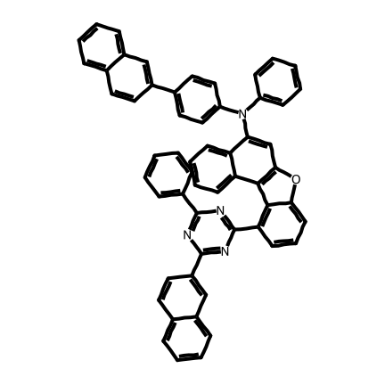 c1ccc(-c2nc(-c3ccc4ccccc4c3)nc(-c3cccc4oc5cc(N(c6ccccc6)c6ccc(-c7ccc8ccccc8c7)cc6)c6ccccc6c5c34)n2)cc1